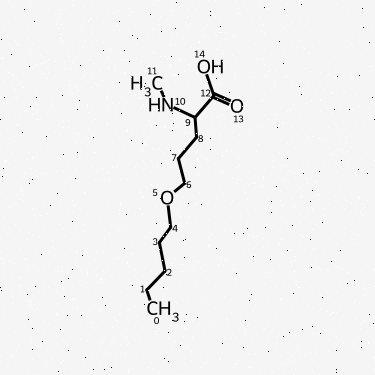 CCCCCOCCCC(NC)C(=O)O